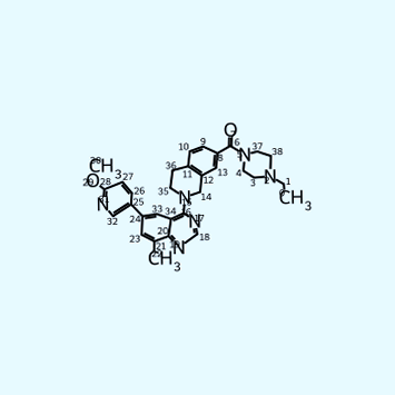 CCN1CCN(C(=O)c2ccc3c(c2)CN(c2ncnc4c(C)cc(-c5ccc(OC)nc5)cc24)CC3)CC1